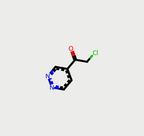 O=C(CCl)c1ccnnc1